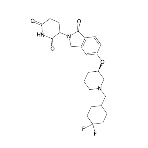 O=C1CCC(N2Cc3cc(O[C@@H]4CCCN(CC5CCC(F)(F)CC5)C4)ccc3C2=O)C(=O)N1